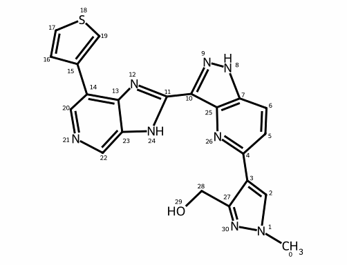 Cn1cc(-c2ccc3[nH]nc(-c4nc5c(-c6ccsc6)cncc5[nH]4)c3n2)c(CO)n1